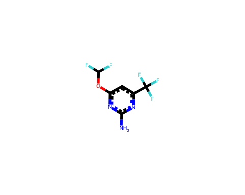 Nc1nc(OC(F)F)cc(C(F)(F)F)n1